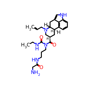 C=CCN1C[C@H](C(=O)N(CCCNC(=O)CN)C(=O)NCC)C[C@@H]2c3cccc4[nH]cc(c34)C[C@H]21